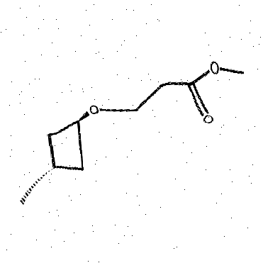 COC(=O)CCO[C@H]1C[C@H](C)C1